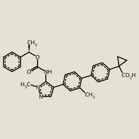 Cc1cc(-c2cnn(C)c2NC(=O)O[C@H](C)c2ccccc2)ccc1-c1ccc(C2(C(=O)O)CC2)cc1